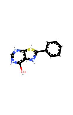 Oc1ncnc2sc(-c3ccccc3)nc12